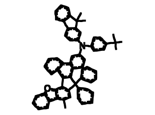 Cc1cc2c(c3oc4ccccc4c13)-c1c(c3ccc(N(c4ccc(C(C)(C)C)cc4)c4ccc5c(c4)C(C)(C)c4ccccc4-5)cc3c3ccccc13)C2(c1ccccc1)c1ccccc1